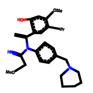 C=C(c1cc(C(C)C)c(OC)cc1O)N(C(=N)COC)c1ccc(CN2CCCCC2)cc1